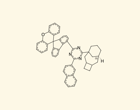 c1ccc2c(c1)Oc1ccccc1C21c2ccccc2-c2c(-c3nc(-c4ccc5ccccc5c4)nc(C45CCC[C@@H](CC6CCC6C4)C5)n3)cccc21